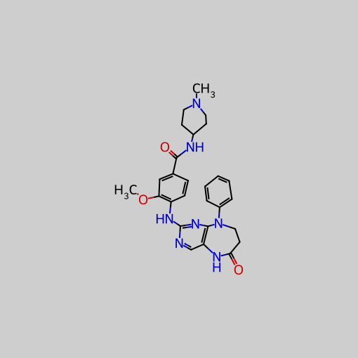 COc1cc(C(=O)NC2CCN(C)CC2)ccc1Nc1ncc2c(n1)N(c1ccccc1)CCC(=O)N2